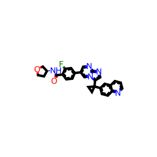 O=C(N[C@@H]1CCOC1)c1ccc(-c2cnc3ncc(C4(c5ccc6ncccc6c5)CC4)n3c2)cc1F